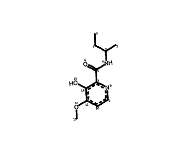 CCC(C)NC(=O)c1nccc(OC)c1O